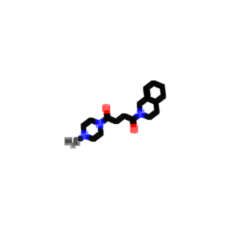 CN1CCN(C(=O)CCC(=O)N2CCC3CCCC=C3C2)CC1